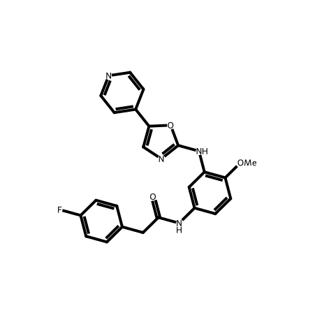 COc1ccc(NC(=O)Cc2ccc(F)cc2)cc1Nc1ncc(-c2ccncc2)o1